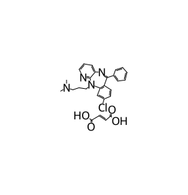 CN(C)CCCN1c2cc(Cl)ccc2C(c2ccccc2)=Nc2cccnc21.O=C(O)/C=C/C(=O)O